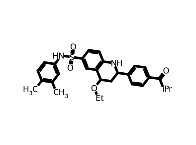 CCOC1CC(c2ccc(C(=O)C(C)C)cc2)Nc2ccc(S(=O)(=O)Nc3ccc(C)c(C)c3)cc21